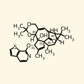 CC1=C[C@]23C(=O)[C@@H](C=C4COC(C)(C)O[C@H]4[C@]2(O)[C@H]1Oc1nccc2ccsc12)[C@H]1[C@@H](C[C@H]3C)C1(C)C